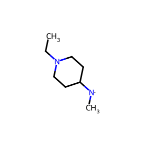 CCN1CCC([N]C)CC1